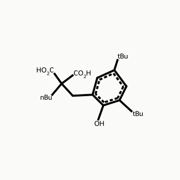 CCCCC(Cc1cc(C(C)(C)C)cc(C(C)(C)C)c1O)(C(=O)O)C(=O)O